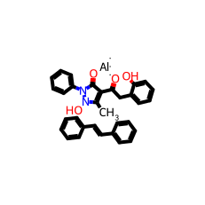 C(=Cc1ccccc1)c1ccccc1.Cc1c(C(=O)Cc2ccccc2O)c(=O)n(-c2ccccc2)n1O.[Al]